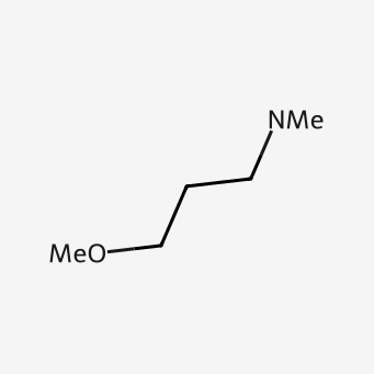 CNCCCOC